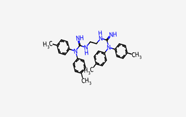 Cc1ccc(N(C(=N)NCCNC(=N)N(c2ccc(C)cc2)c2ccc(C)cc2)c2ccc(C)cc2)cc1